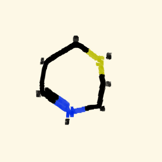 [C]1C[C]=NCCS1